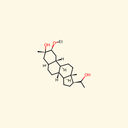 CCO[C@H]1C[C@H]2[C@@H](CC[C@@H]3[C@@H]2CC[C@]2(C)[C@@H](C(C)O)CC[C@@H]32)C[C@]1(C)O